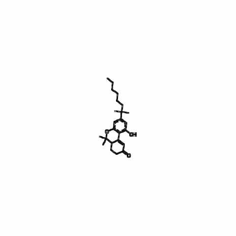 CCCCCCC(C)(C)c1cc(O)c2c(c1)OC(C)(C)C1CCC(=O)C=C21